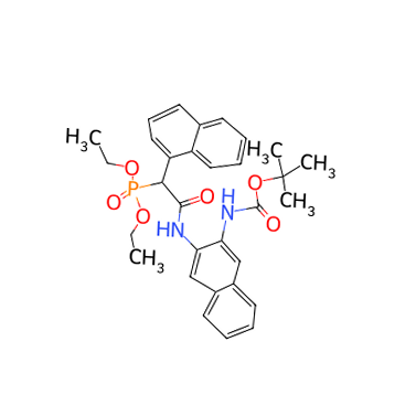 CCOP(=O)(OCC)C(C(=O)Nc1cc2ccccc2cc1NC(=O)OC(C)(C)C)c1cccc2ccccc12